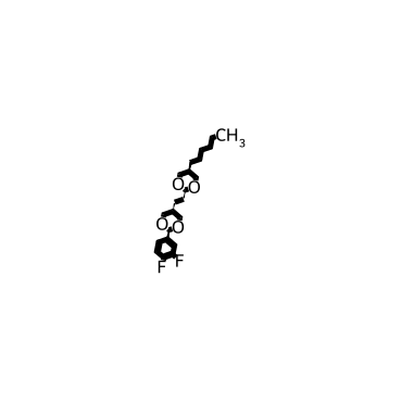 CCCCCC[C@H]1CO[C@H](CC[C@H]2CO[C@H](c3ccc(F)c(F)c3)OC2)OC1